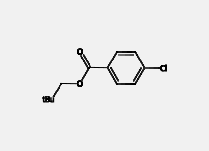 CC(C)(C)COC(=O)c1ccc(Cl)cc1